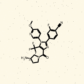 COc1ccc(-n2c(-c3ccc(C#N)c(F)c3)nc(C(=O)N3CC[C@@H](N)C3)c2C(F)(F)F)cn1